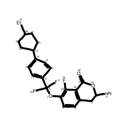 CCCC1Cc2ccc(OC(F)(F)c3ccc(C4CCC(CC)CC4)cc3)c(F)c2C(=O)O1